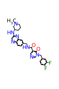 CN1CCCC(Nc2cnc3ccc(CNC(=O)c4cncn(Cc5ccc(F)c(F)c5)c4=O)cc3n2)C1